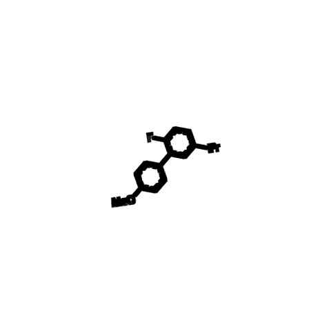 COc1ccc(-c2cc(C(C)C)ccc2F)cc1